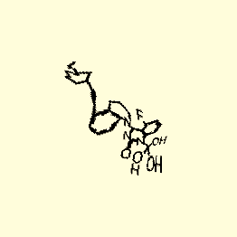 CN1CCC(C#Cc2cccc3c2CCCN3c2nc(=O)n(C(O)(O)O)c3cccc(F)c23)C1